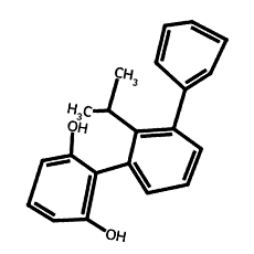 CC(C)c1c(-c2ccccc2)cccc1-c1c(O)cccc1O